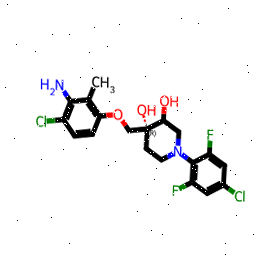 Cc1c(OC[C@]2(O)CCN(c3c(F)cc(Cl)cc3F)CC2O)ccc(Cl)c1N